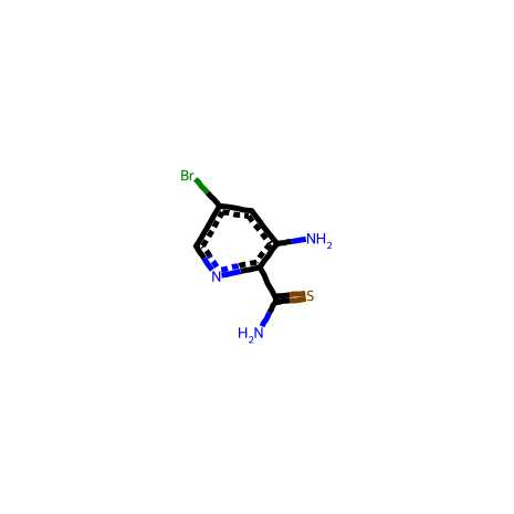 NC(=S)c1ncc(Br)cc1N